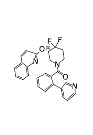 O=C(c1ccccc1-c1cccnc1)N1CCC(F)(F)[C@@H](Oc2ccc3ccccc3n2)C1